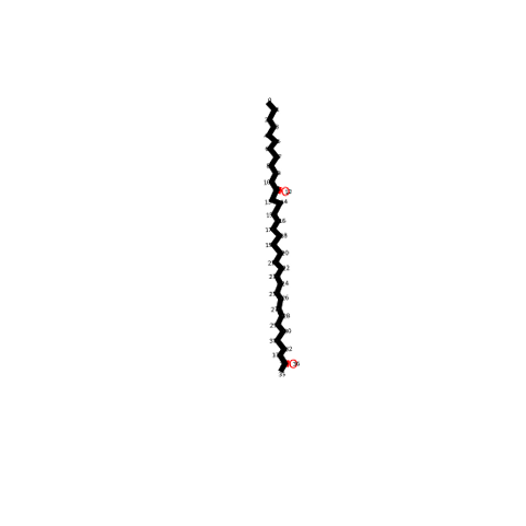 CCCCCCCCCCCC(=O)CCCCCCCCCCCCCCCCCCCCCC(C)=O